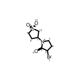 O=C1C(Br)CCN1C1CCS(=O)(=O)C1